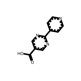 O=C(O)c1cnc(-c2ccncc2)nc1